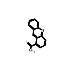 NC(=S)c1cccc2nc3ccccc3cc12